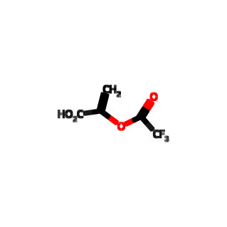 C=C(OC(=O)C(F)(F)F)C(=O)O